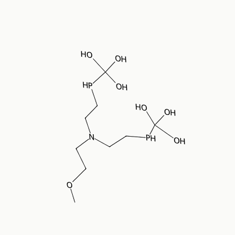 COCCN(CCPC(O)(O)O)CCPC(O)(O)O